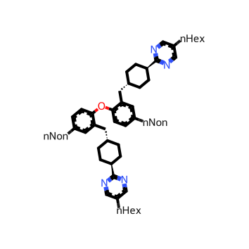 CCCCCCCCCc1ccc(Oc2ccc(CCCCCCCCC)cc2C[C@H]2CC[C@H](c3ncc(CCCCCC)cn3)CC2)c(C[C@H]2CC[C@H](c3ncc(CCCCCC)cn3)CC2)c1